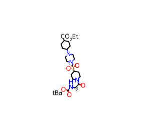 CCOC(=O)C1CCC(N2CCN(S(=O)(=O)C3CCN(C(=O)[C@H](C)NC(=O)OC(C)(C)C)CC3)CC2)CC1